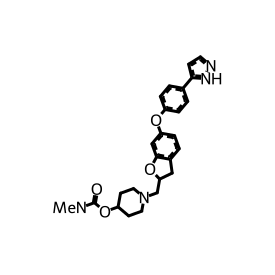 CNC(=O)OC1CCN(CC2Cc3ccc(Oc4ccc(-c5ccn[nH]5)cc4)cc3O2)CC1